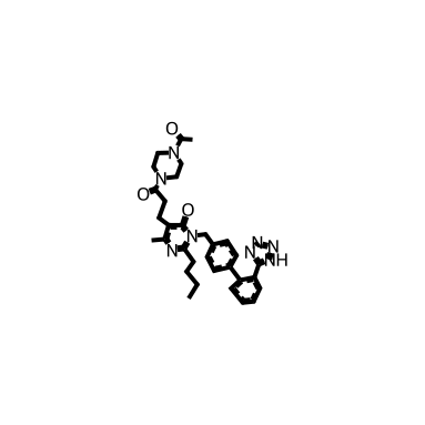 CCCCc1nc(C)c(CCC(=O)N2CCN(C(C)=O)CC2)c(=O)n1Cc1ccc(-c2ccccc2-c2nnn[nH]2)cc1